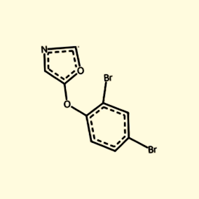 Brc1ccc(Oc2cn[c]o2)c(Br)c1